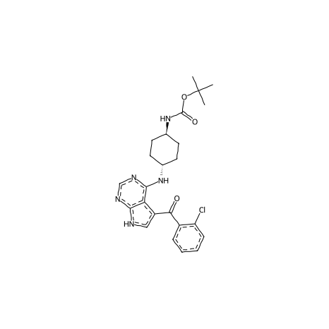 CC(C)(C)OC(=O)N[C@H]1CC[C@H](Nc2ncnc3[nH]cc(C(=O)c4ccccc4Cl)c23)CC1